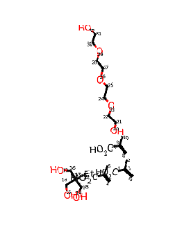 C=C(C)C(=O)O.C=C(C)C(=O)O.C=C(C)C(=O)O.CCC(CO)(CO)CO.OCCOCCOCCOCCO